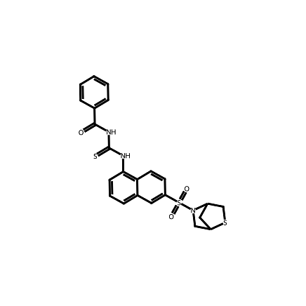 O=C(NC(=S)Nc1cccc2cc(S(=O)(=O)N3CC4CC3CS4)ccc12)c1ccccc1